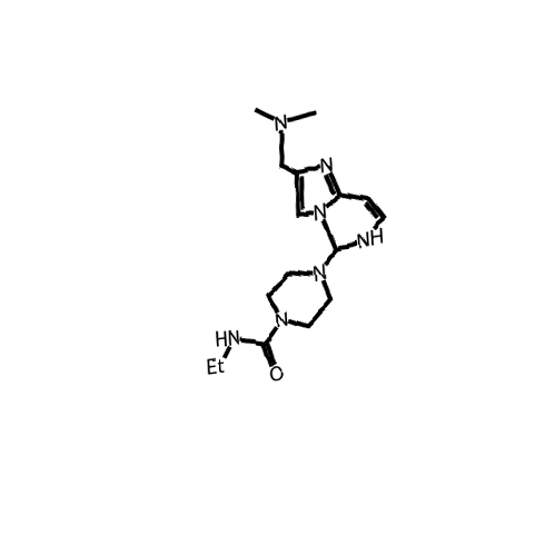 CCNC(=O)N1CCN(C2NC=Cc3nc(CN(C)C)cn32)CC1